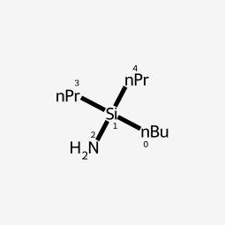 CCCC[Si](N)(CCC)CCC